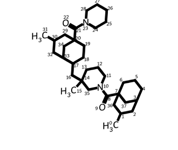 CC1CC2CCCC(C(=O)N3CCCC(C)(CC4CCC5(C(=O)N6CCCCC6)CC(C)CC4C5)C3)(C1)C2